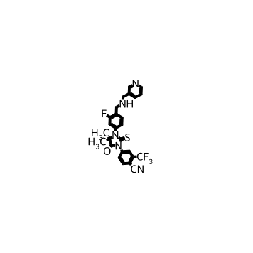 CC1(C)C(=O)N(c2ccc(C#N)c(C(F)(F)F)c2)C(=S)N1c1ccc(CNCc2cccnc2)c(F)c1